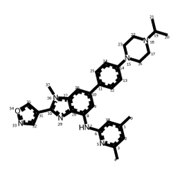 Cc1cc(C)nc(Nc2cc(-c3ccc(N4CCN(C(C)C)CC4)cc3)cc3c2nc(-c2cnoc2)n3C)c1